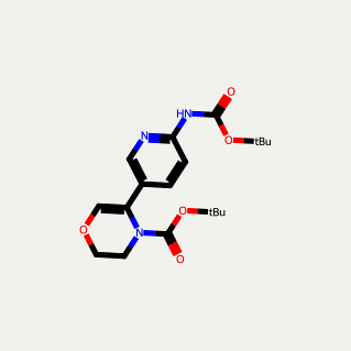 CC(C)(C)OC(=O)Nc1ccc(C2=COCCN2C(=O)OC(C)(C)C)cn1